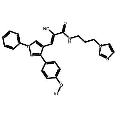 CCOc1ccc(-c2nn(-c3ccccc3)cc2/C=C(\C#N)C(=O)NCCCn2ccnc2)cc1